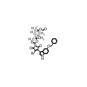 CC(C)(C)OC(=O)N1C(=O)C(Br)=C(c2c[nH]c3ccc(OCc4ccccc4)cc23)C1=O.CC(C)(C)OC=O